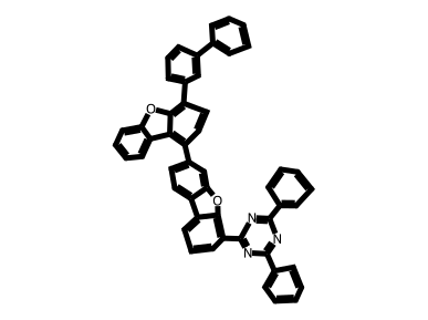 c1ccc(-c2cccc(-c3ccc(-c4ccc5c(c4)oc4c(-c6nc(-c7ccccc7)nc(-c7ccccc7)n6)cccc45)c4c3oc3ccccc34)c2)cc1